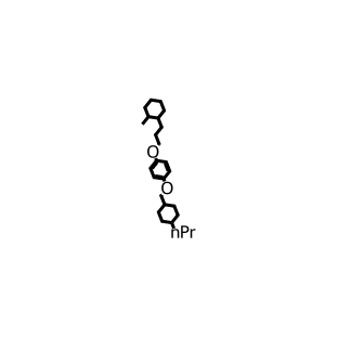 CCCC1CCC(COc2ccc(OCCCC3CCCCC3C)cc2)CC1